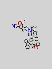 Cc1cc(C)c(N(c2ccc3c(c2)C(C)(C)c2cc(-c4ccncc4)c4oc5ccccc5c4c2-3)c2ccc3c(c2)C2(c4ccccc4-c4ccccc42)c2cc4c(cc2-3)C2(c3ccccc3-c3ccccc32)c2ccc3oc5ccccc5c3c2-4)c(C)c1